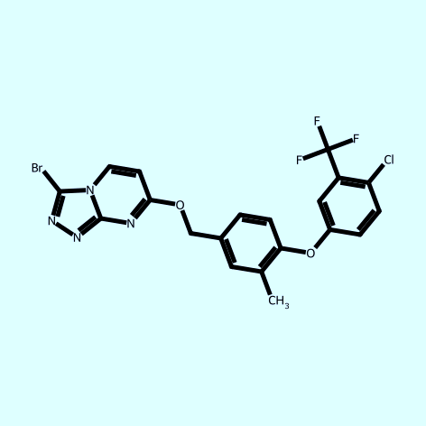 Cc1cc(COc2ccn3c(Br)nnc3n2)ccc1Oc1ccc(Cl)c(C(F)(F)F)c1